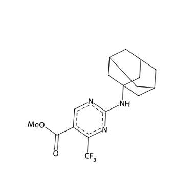 COC(=O)c1cnc(NC23CC4CC(CC(C4)C2)C3)nc1C(F)(F)F